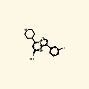 Cl.O=c1cc(C2CCNCC2)n2ncc(-c3cccc(Cl)c3)c2[nH]1